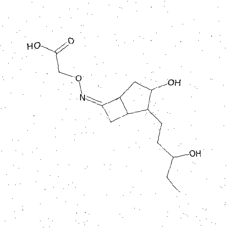 CCC(O)CCC1C(O)CC2C(=NOCC(=O)O)CC21